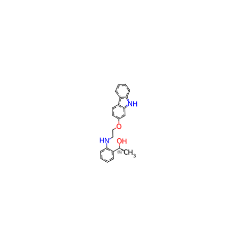 C[C@H](O)c1ccccc1NCCOc1ccc2c(c1)[nH]c1ccccc12